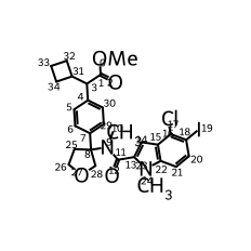 COC(=O)C(c1ccc(C2(N(C)C(=O)c3cc4c(Cl)c(I)ccc4n3C)CCOC2)cc1)C1CCC1